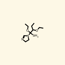 CCOC(CC)C([SiH3])(OCC)N1C=NCC1